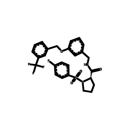 O=C(NCc1cccc(OCc2cccc(C(F)(F)F)c2)c1)[C@@H]1CCCN1S(=O)(=O)c1ccc(F)cc1